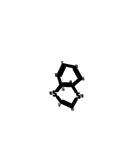 [c]1cccc2c1SC=CS2